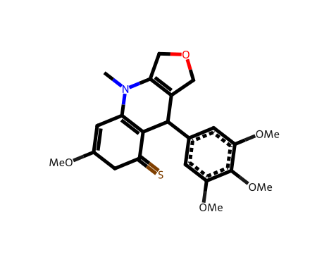 COC1=CC2=C(C(=S)C1)C(c1cc(OC)c(OC)c(OC)c1)C1=C(COC1)N2C